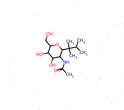 CC(=O)NC1C(O)C(O)C(CO)OC1C(C)(C)C(C)C